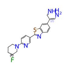 N=C/C(=C\N)c1ccc2nc(-c3ccc(N4CCC[C@@H](F)C4)nc3)sc2c1